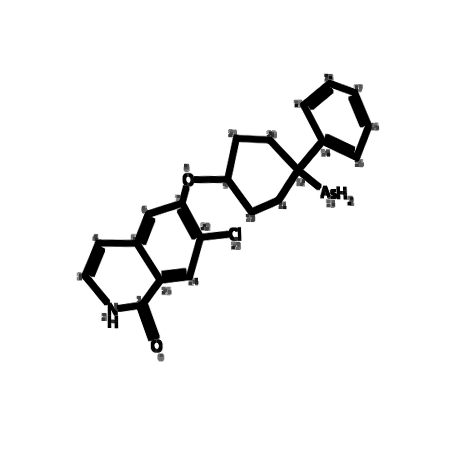 O=c1[nH]ccc2cc(OC3CCC([AsH2])(c4ccccc4)CC3)c(Cl)cc12